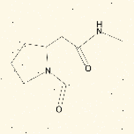 CNC(=O)CC1CCCN1[C]=O